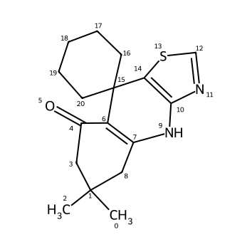 CC1(C)CC(=O)C2=C(C1)Nc1ncsc1C21CCCCC1